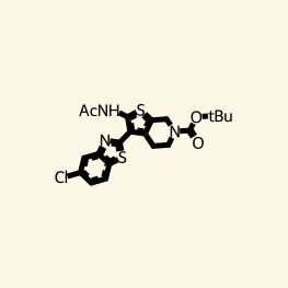 CC(=O)Nc1sc2c(c1-c1nc3cc(Cl)ccc3s1)CCN(C(=O)OC(C)(C)C)C2